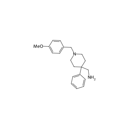 COc1ccc(CN2CCC(CN)(c3ccccc3)CC2)cc1